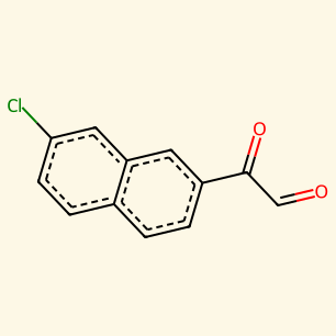 O=CC(=O)c1ccc2ccc(Cl)cc2c1